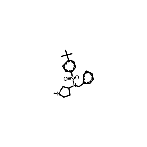 CN1CCC(N(Cc2ccccc2)S(=O)(=O)c2ccc(C(C)(C)C)cc2)C1